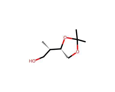 C[C@@H](CO)[C@H]1COC(C)(C)O1